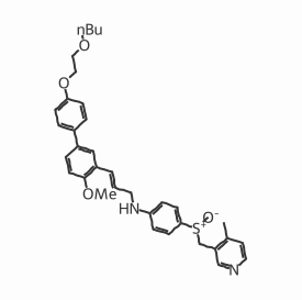 CCCCOCCOc1ccc(-c2ccc(OC)c(/C=C/CNc3ccc([S+]([O-])Cc4cnccc4C)cc3)c2)cc1